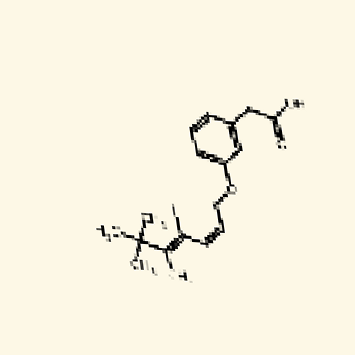 C/C(=C(I)\C=C/COc1cccc(CC(=O)O)c1)C(C)(C)C